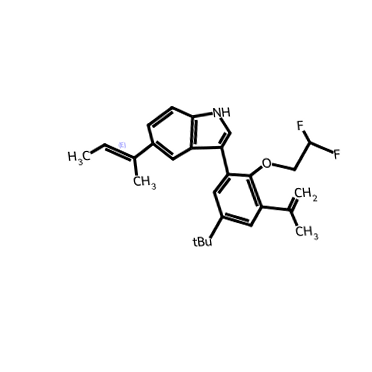 C=C(C)c1cc(C(C)(C)C)cc(-c2c[nH]c3ccc(/C(C)=C/C)cc23)c1OCC(F)F